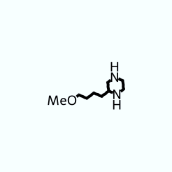 COCCCCC1CNCCN1